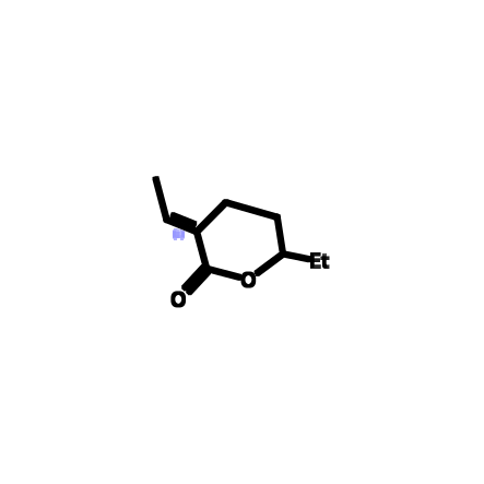 C/C=C1\CCC(CC)OC1=O